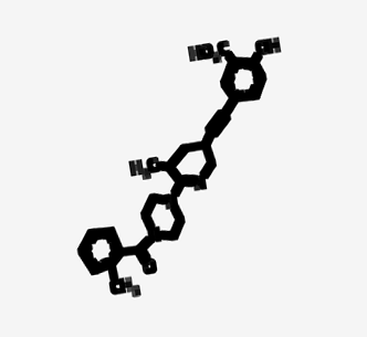 Cc1ccccc1C(=O)N1CCN(C2=NCC(C#Cc3ccc(O)c(C(=O)O)c3)CC2C)CC1